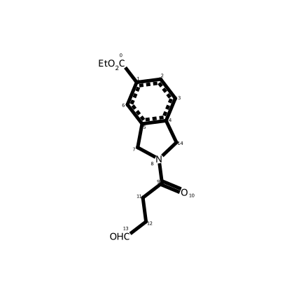 CCOC(=O)c1ccc2c(c1)CN(C(=O)CCC=O)C2